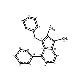 Cc1c(C)n(Cc2ccccc2)c2c(-c3ccccc3)nccc12